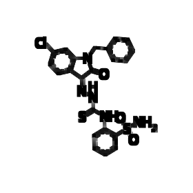 NS(=O)(=O)c1ccccc1NC(=S)NN=C1C(=O)N(Cc2ccccc2)c2cc(Cl)ccc21